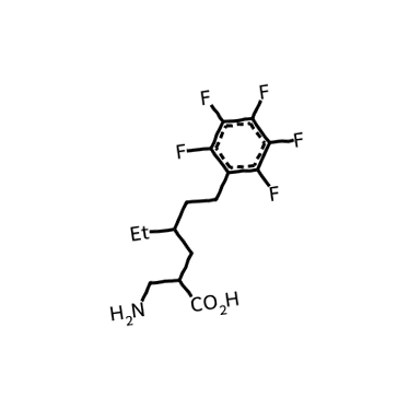 CCC(CCc1c(F)c(F)c(F)c(F)c1F)CC(CN)C(=O)O